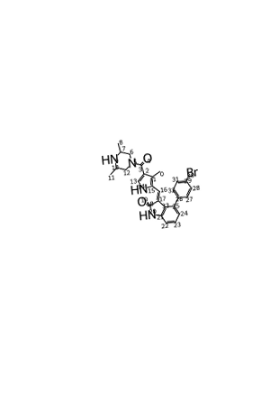 Cc1c(C(=O)N2CC(C)NC(C)C2)c[nH]c1C=C1C(=O)Nc2cccc(-c3ccc(Br)cc3)c21